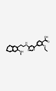 CCOc1cc(-c2cc(NCCc3cc4ccccc4cc3NC)ncn2)ccc1C(=O)O